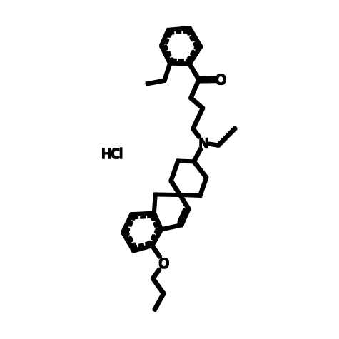 CCCOc1cccc2c1C=CC1(CCC(N(CC)CCCC(=O)c3ccccc3CC)CC1)C2.Cl